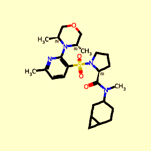 Cc1ccc(S(=O)(=O)N2CCC[C@H]2C(=O)N(C)C2CCC3CC3C2)c(N2[C@@H](C)COC[C@@H]2C)n1